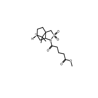 COC(=O)CCCC(=O)N1C2C[C@@H]3CCC2(CS1(=O)=O)C3(C)C